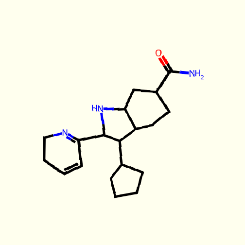 NC(=O)C1CCC2C(C1)NC(C1=NCCC=C1)C2C1CCCC1